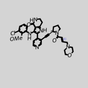 COc1c(Cl)cccc1Nc1c(-c2ccncc2C#C[C@H]2CCCN2C(=O)/C=C/CN2CCOCC2)[nH]c2c1C(=O)NCC2